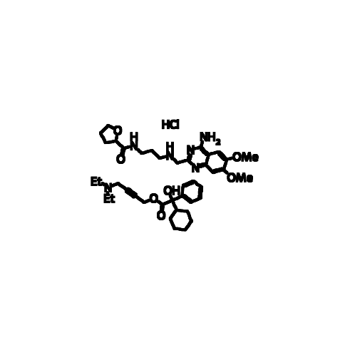 CCN(CC)CC#CCOC(=O)C(O)(c1ccccc1)C1CCCCC1.COc1cc2nc(CNCCCNC(=O)C3CCCO3)nc(N)c2cc1OC.Cl